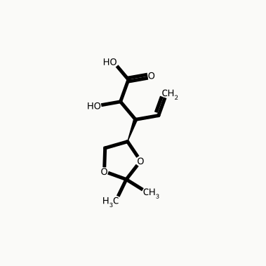 C=CC(C(O)C(=O)O)[C@@H]1COC(C)(C)O1